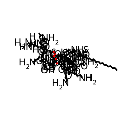 CCCCCCCCCCCCCCCC(=O)N[C@@H](CCSC)C(=O)NCC(=O)N[C@@H](C)C(=O)N[C@@H](CCC(N)=O)C(=O)N[C@@H](CCCCN)C(=O)N[C@@H](CCCCN)C(=O)N[C@@H](CC(C)C)C(=O)N[C@@H](CCCNC(=N)N)C(=O)N[C@@H](CO)C(=O)N[C@@H](CCSC)C(=O)N[C@H](C(=O)N[C@@H](CC(=O)O)C(=O)N[C@@H](CCCCN)C(=O)N[C@@H](Cc1ccc(O)cc1)C(=O)N[C@@H](CCCNC(=N)N)C(=O)N[C@@H](CC(C)C)C(N)=O)[C@@H](C)O